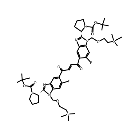 CC(C)(C)OC(=O)N1CCC[C@H]1c1nc2cc(C(=O)/C=C/C(=O)c3cc4nc([C@@H]5CCCN5C(=O)OC(C)(C)C)n(COCCS(C)(C)C)c4cc3F)c(F)cc2n1COCCS(C)(C)C